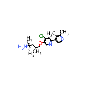 Cc1nccc(-c2cc(Cl)c(OC[C@@H](C)CC(C)(C)N)cn2)c1C